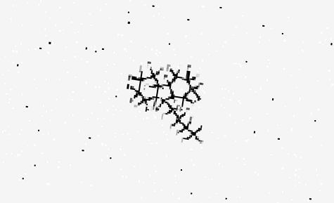 FC(F)(F)C(F)(F)C(F)(F)C(F)(F)C1(F)C2(F)C(F)(F)C(F)(F)C(F)(F)C(F)(F)C2(F)C2(F)C(F)(F)C(F)(F)C(F)(F)C(F)(F)C12F